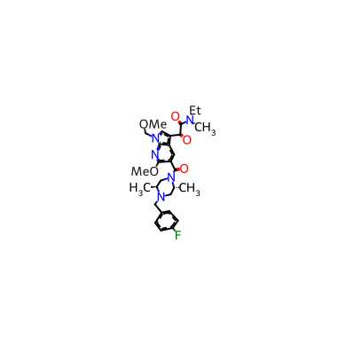 CCN(C)C(=O)C(=O)c1cn(COC)c2nc(OC)c(C(=O)N3C[C@H](C)N(Cc4ccc(F)cc4)C[C@H]3C)cc12